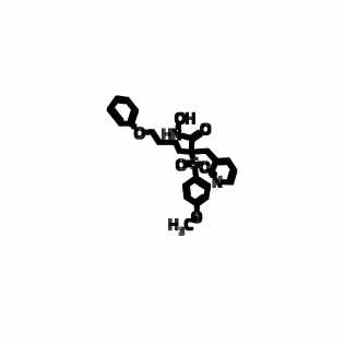 COc1ccc(S(=O)(=O)C(CCCCOc2ccccc2)(Cc2cccnc2)C(=O)NO)cc1